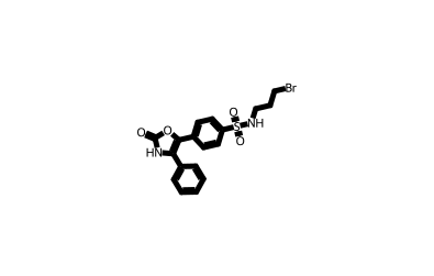 O=c1[nH]c(-c2ccccc2)c(-c2ccc(S(=O)(=O)NCCCBr)cc2)o1